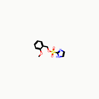 COc1ccccc1COS(=O)(=O)c1ncc[nH]1